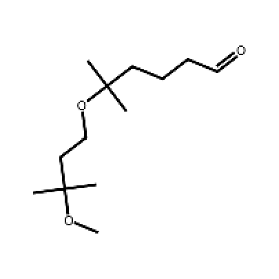 COC(C)(C)CCOC(C)(C)CCCC=O